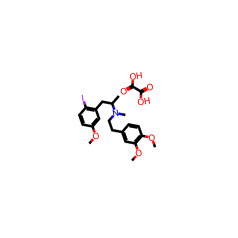 COc1ccc(I)c(CC(C)N(C)CCc2ccc(OC)c(OC)c2)c1.O=C(O)C(=O)O